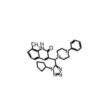 Cc1cccc2cc([C@H](c3nnnn3C3CCCC3)N3CCN(c4ccccc4)CC3)c(=O)[nH]c12